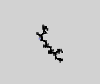 CC(=O)C[C@H](N)NCNC/C=C(/C)ON